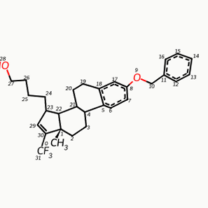 C[C@]12CCC3c4ccc(OCc5ccccc5)cc4CCC3C1C(CCCCO)C=C2C(F)(F)F